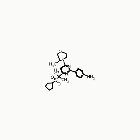 C[C@H]1COCCN1c1cc(C(C)(C)S(=O)(=O)C2CCCC2)nc(-c2ccc(N)cc2)n1